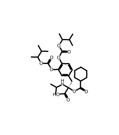 CC(C)N[C@@](Cc1ccc(OC(=O)OC(C)C(C)C)c(OC(=O)OC(C)C(C)C)c1)(OC(=O)C1CCCCC1)C(=O)O